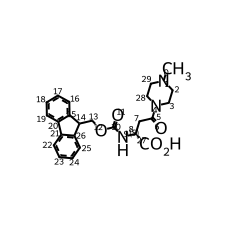 CN1CCN(C(=O)C[C@H](NC(=O)OCC2c3ccccc3-c3ccccc32)C(=O)O)CC1